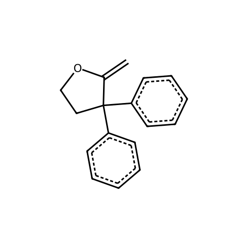 C=C1OCCC1(c1ccccc1)c1ccccc1